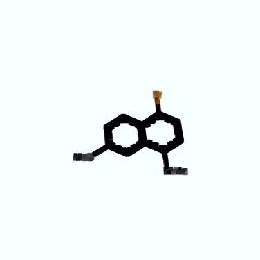 COc1ccc2c(Br)ccc(NC(C)=O)c2c1